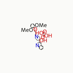 COc1cccc(OC)c1OCCCN1CCC(O)(c2cnc3ccccc3c2)CC1.O=C(O)C(=O)O